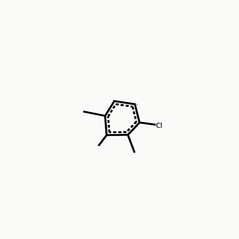 Cc1c[c]c(Cl)c(C)c1C